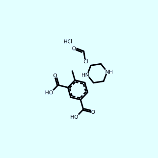 C1CNCCN1.Cc1ccc(C(=O)O)cc1C(=O)O.Cl.O=CCl